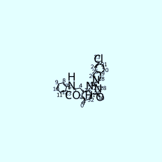 Cc1cc(CCNc2ccccc2C(=O)O)c2nc(N3Cc4ccc(Cl)cc4C3)n(C)c(=O)c2c1